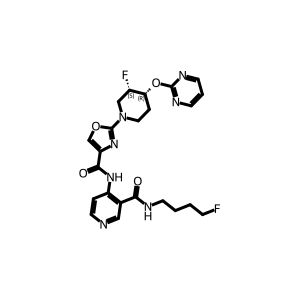 O=C(Nc1ccncc1C(=O)NCCCCF)c1coc(N2CC[C@@H](Oc3ncccn3)[C@@H](F)C2)n1